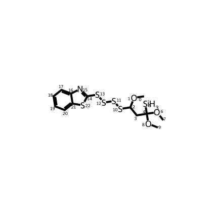 COC(CC([SiH3])(OC)OC)SSSSc1nc2ccccc2s1